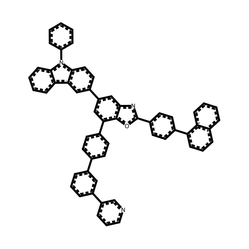 c1ccc(-n2c3ccccc3c3cc(-c4cc(-c5ccc(-c6cccc(-c7cccnc7)c6)cc5)c5oc(-c6ccc(-c7cccc8ccccc78)cc6)nc5c4)ccc32)cc1